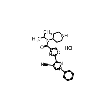 CC(C)N(C(=O)c1coc(-c2nn(-c3ccccc3)cc2C#N)n1)C1CCNCC1.Cl